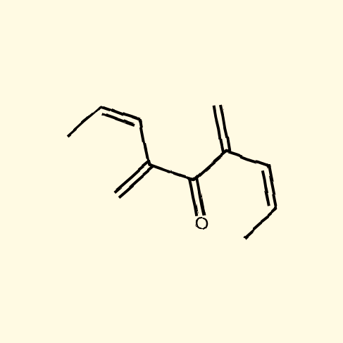 C=C(/C=C\C)C(=O)C(=C)/C=C\C